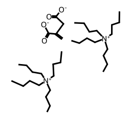 C=C(CC(=O)[O-])C(=O)[O-].CCCC[N+](CCCC)(CCCC)CCCC.CCCC[N+](CCCC)(CCCC)CCCC